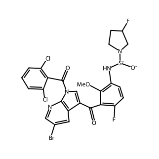 COc1c(N[S+]([O-])N2CCC(F)C2)ccc(F)c1C(=O)c1cn(C(=O)c2c(Cl)cccc2Cl)c2ncc(Br)cc12